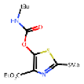 CCOC(=O)c1nc(SC)sc1OC(=O)NC(C)(C)C